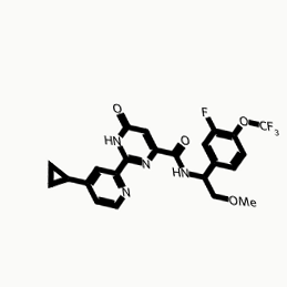 COCC(NC(=O)c1cc(=O)[nH]c(-c2cc(C3CC3)ccn2)n1)c1ccc(OC(F)(F)F)c(F)c1